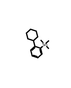 [CH3][Sn]([CH3])([CH3])[c]1ccccc1C1CCCCC1